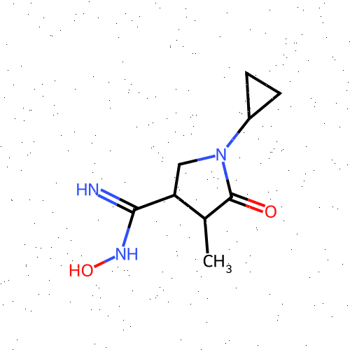 CC1C(=O)N(C2CC2)CC1C(=N)NO